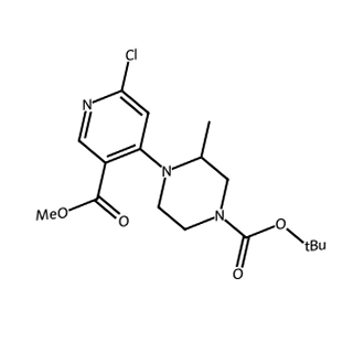 COC(=O)c1cnc(Cl)cc1N1CCN(C(=O)OC(C)(C)C)CC1C